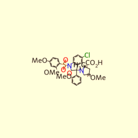 COc1ccc(S(=O)(=O)N2C(=O)C(c3ccccc3OC)(N3C[C@H](OC)C[C@@]3(C)C(=O)O)c3cc(Cl)ccc32)c(OC)c1